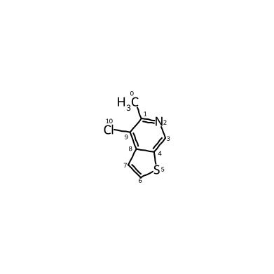 Cc1ncc2sccc2c1Cl